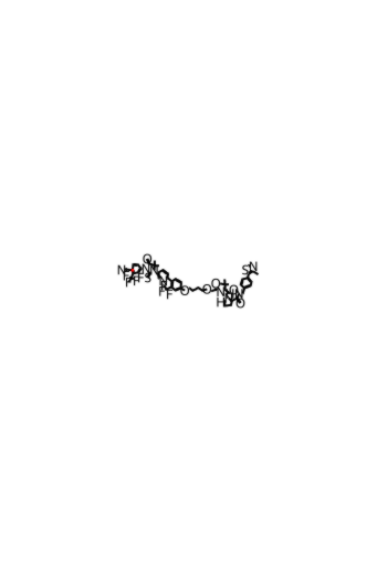 Cc1ncsc1-c1ccc(CNC(=O)C2CCCN2C(=O)C(NC(=O)COCCCCOc2ccc(-c3ccc(N4C(=S)N(c5ccc(C#N)c(C(F)(F)F)c5F)C(=O)C4(C)C)cn3)c(C(F)(F)F)c2)C(C)(C)C)cc1